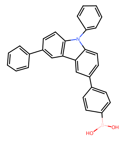 OB(O)c1ccc(-c2ccc3c(c2)c2cc(-c4ccccc4)ccc2n3-c2ccccc2)cc1